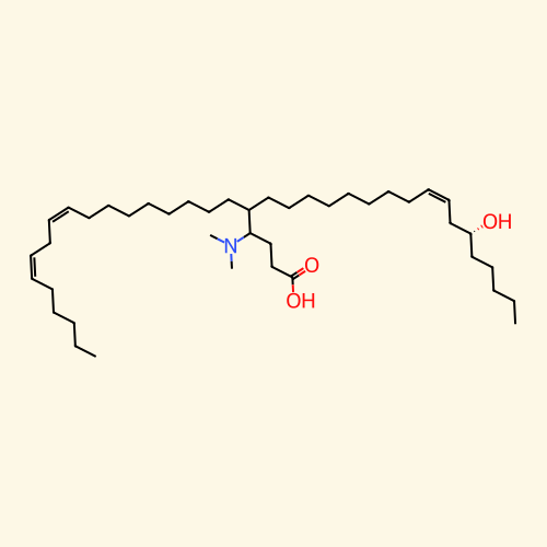 CCCCC/C=C\C/C=C\CCCCCCCCC(CCCCCCCC/C=C\C[C@H](O)CCCCC)C(CCC(=O)O)N(C)C